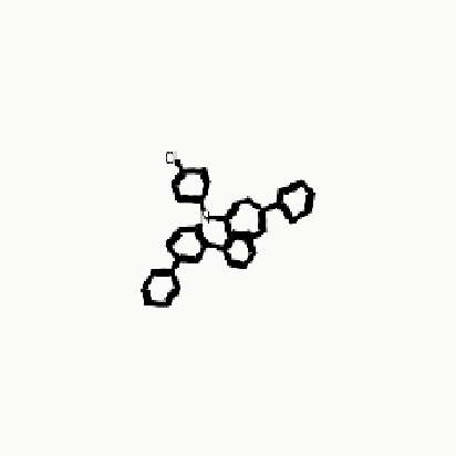 Clc1ccc(N(C2=CCC(c3ccccc3)=CC=C2)c2ccc(-c3ccccc3)cc2-c2ccccc2)cc1